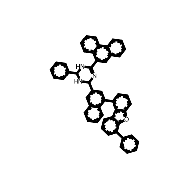 c1ccc(-c2cccc3c2oc2cccc(-c4cc(C5N=C(c6cc7ccccc7c7ccccc67)NC(c6ccccc6)N5)cc5ccccc45)c23)cc1